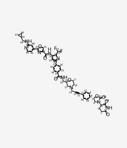 O=C1CCC(N2C[C@H](c3ccc(C#CCN4CCOC(CNC(=O)c5ccc(-n6cc(NC(=O)c7coc(-c8ccnc(NCC9CC9)c8)n7)c(C(F)F)n6)cc5)C4)cc3)OC2=O)C(=O)N1